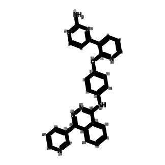 Nc1nccc(-c2cccnc2Oc2ccc(Nc3nnc(-c4cccnc4)c4ccccc34)cc2)n1